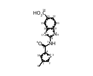 Cc1csc(C(=O)Nc2nc3ccc(C(=O)O)cc3s2)c1